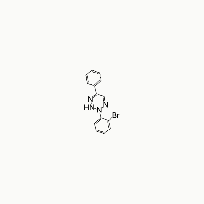 Brc1ccccc1N1N=CC(c2ccccc2)=NN1